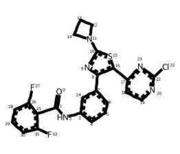 O=C(Nc1cccc(-c2nc(N3CCC3)sc2-c2ccnc(Cl)n2)c1)c1c(F)cccc1F